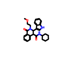 COCCN1C(=O)c2ccccc2C(C(=O)NC2CCCCC2)C1c1c[nH]c2ccccc12